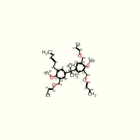 C=CC=CCc1cc(C(C)(C)c2cc(COC=CC=C)c(OCCC)c(COC=CCC)c2)cc(COC=CCC)c1OCCC